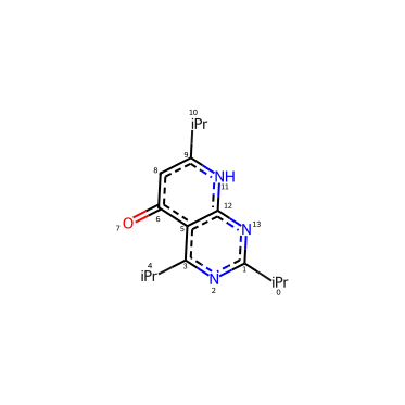 CC(C)c1nc(C(C)C)c2c(=O)cc(C(C)C)[nH]c2n1